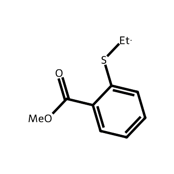 C[CH]Sc1ccccc1C(=O)OC